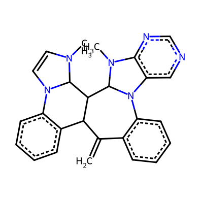 C=C1c2ccccc2N2c3cncnc3N(C)C2C2C1c1ccccc1N1C=CN(C)C21